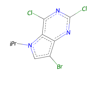 CC(C)n1cc(Br)c2nc(Cl)nc(Cl)c21